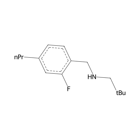 CCCc1ccc(CNCC(C)(C)C)c(F)c1